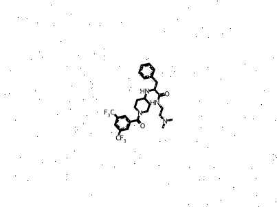 CN(C)CCNC(=O)C(Cc1ccccc1)NC1CCN(C(=O)c2cc(C(F)(F)F)cc(C(F)(F)F)c2)CC1